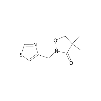 CC1(C)CON(Cc2cscn2)C1=O